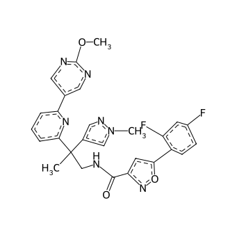 COc1ncc(-c2cccc(C(C)(CNC(=O)c3cc(-c4ccc(F)cc4F)on3)c3cnn(C)c3)n2)cn1